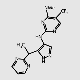 CNc1nc(Nc2cn[nH]c2C(C)c2ncccn2)ncc1C(F)(F)F